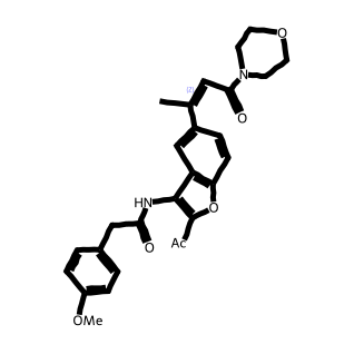 COc1ccc(CC(=O)Nc2c(C(C)=O)oc3ccc(/C(C)=C\C(=O)N4CCOCC4)cc23)cc1